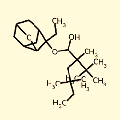 CCC(C)(C)CC(C)(C(O)OC1(CC)C2CC3CC(C2)C1C3)C(C)(C)C